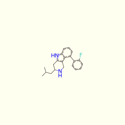 CC(C)CC1Cc2[nH]c3cccc(-c4ccccc4F)c3c2CN1